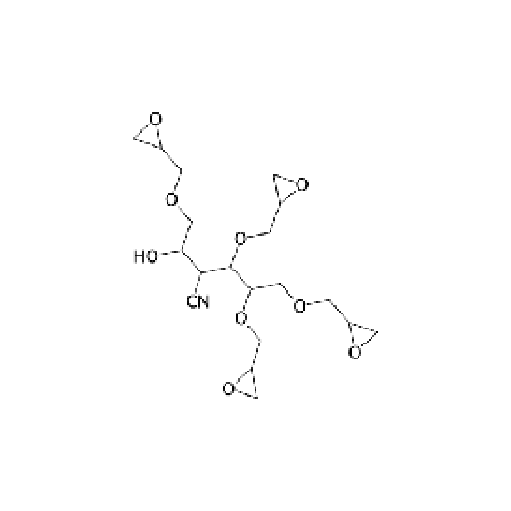 N#CC(C(O)COCC1CO1)C(OCC1CO1)C(COCC1CO1)OCC1CO1